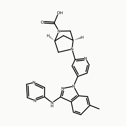 Cc1ccc2c(Nc3cnccn3)nn(-c3ccnc(N4C[C@@H]5C[C@H]4CN5C(=O)O)c3)c2c1